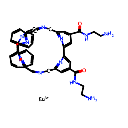 NCCNC(=O)c1cc2nc(c1)-c1cc(C(=O)NCCN)cc(n1)CN1Cc3cccc(n3)-c3cccc(n3)CN(Cc3cccc(n3)-c3cccc(n3)C1)C2.[Eu+3]